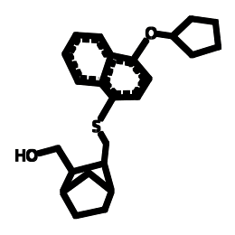 OCC1C2CCC(C2)C1CSc1ccc(OC2CCCC2)c2ccccc12